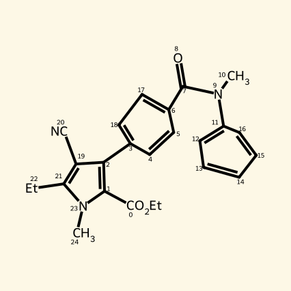 CCOC(=O)c1c(-c2ccc(C(=O)N(C)c3ccccc3)cc2)c(C#N)c(CC)n1C